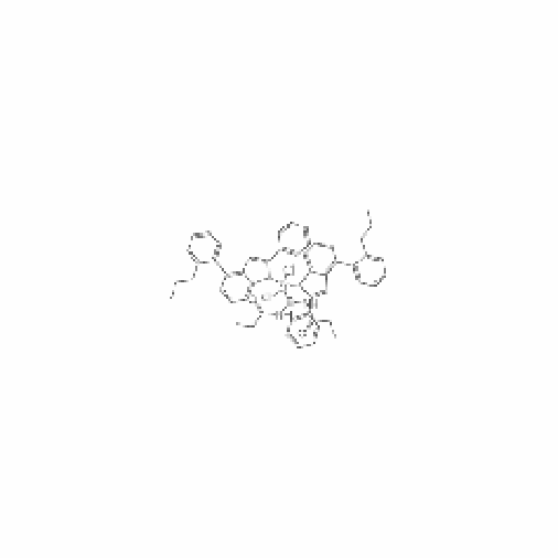 CCCc1ccccc1-c1cccc2c1C=C(c1ccccc1)[CH]2[Zr]([Cl])([Cl])([B](NC(=O)CC)NC(=O)CC)[CH]1C(c2ccccc2)=Cc2c(-c3ccccc3CCC)cccc21